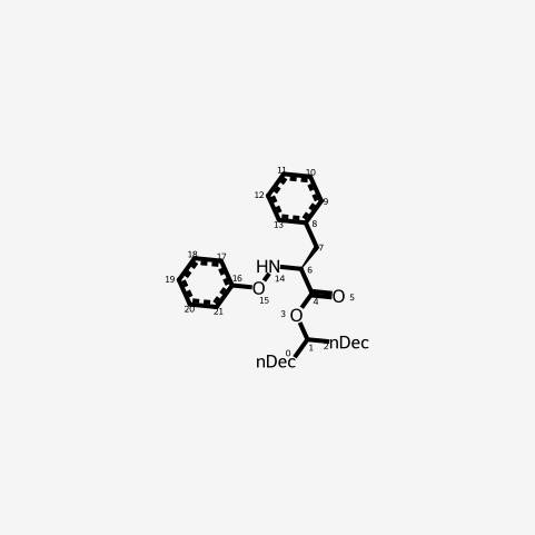 CCCCCCCCCCC(CCCCCCCCCC)OC(=O)[C@H](Cc1ccccc1)NOc1ccccc1